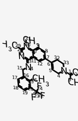 CC(=O)N1CC=C(c2ccc3c(c2)/c(=N/Cc2cccc(C(F)(F)F)c2C)nc(C)n3C)CC1